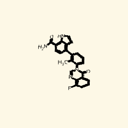 Cc1c(-c2ccc(C(N)=O)c3[nH]ccc23)cccc1-n1cnc2c(F)cccc2c1=O